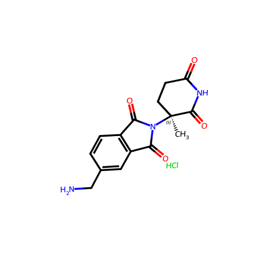 C[C@]1(N2C(=O)c3ccc(CN)cc3C2=O)CCC(=O)NC1=O.Cl